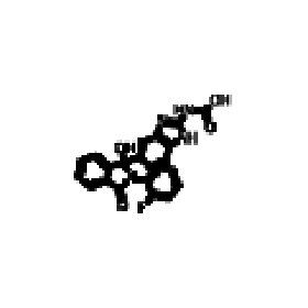 O=C(O)Nc1nc2cc(C3(O)c4ccccc4C(=O)N3c3ccccc3F)ccc2[nH]1